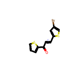 O=C(/C=C/c1cc(Br)cs1)c1cccs1